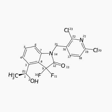 C[C@H](O)c1cccc2c1C(F)(F)C(=O)N2Cc1ccc(Cl)nc1Cl